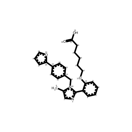 Cc1cnc(-c2ccccc2OCCCCCC(=O)O)n1Cc1ccc(-c2ccco2)cc1